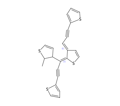 CC1SC=CC1/C(C#Cc1cccs1)=c1/scc/c1=C\C#Cc1cccs1